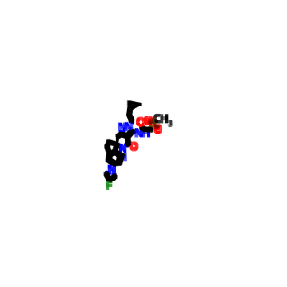 CS(=O)(=O)CC(=O)Nc1c2c(nn1CCC1CC1)C[C@@]1(CCc3cc(N4CC(F)C4)ccc31)NC2=O